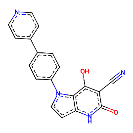 N#Cc1c(O)c2c(ccn2-c2ccc(-c3ccncc3)cc2)[nH]c1=O